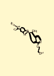 CCNC(=O)c1ccc2nn(-c3ccc4c(OCCO)nccc4c3O)nc2c1